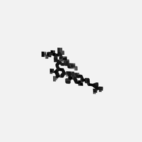 C/N=C(/N)S[C@@](C)(COC)Cc1cc(NC(=O)c2cnc(OCC3CC3(F)F)cn2)cc(F)c1F